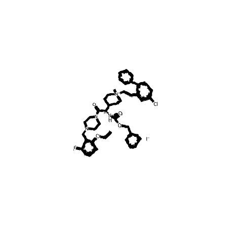 CCOc1cccc(F)c1CN1CCN(C(=O)[C@H](NC(=O)OCc2ccccc2)C2CC[N+](C)(CCc3cc(Cl)ccc3-c3ccccc3)CC2)CC1.[I-]